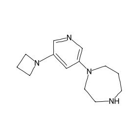 c1ncc(N2CCCNCC2)cc1N1CCC1